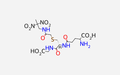 CC(CNC(=O)CSC[C@H](NC(=O)CCC(N)C(=O)O)C(=O)NCC(=O)O)([N+](=O)[O-])[N+](=O)[O-]